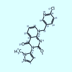 Cn1nccc1-n1c(=O)nc2n(Cc3ccc(Cl)nc3)cccc-2c1=O